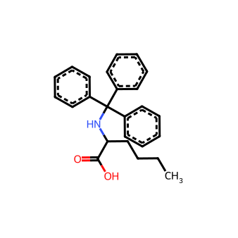 CCCCC(NC(c1ccccc1)(c1ccccc1)c1ccccc1)C(=O)O